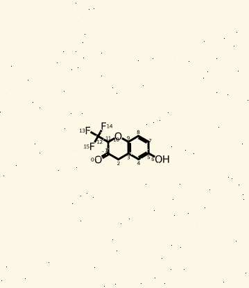 O=C1Cc2cc(O)ccc2OC1C(F)(F)F